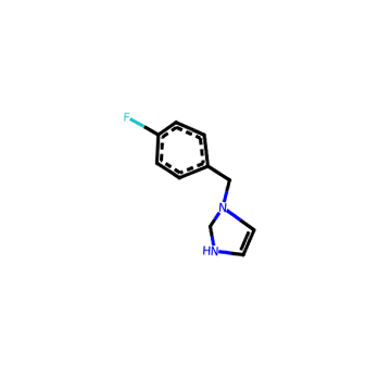 Fc1ccc(CN2C=CNC2)cc1